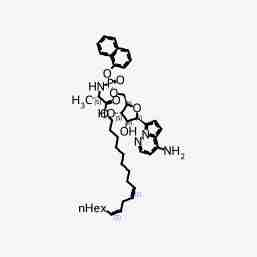 CCCCCC/C=C\C/C=C\CCCCCCCCOC(=O)[C@H](C)NP(=O)(OC[C@H]1O[C@@H](c2ccc3c(N)ccnn23)[C@H](O)[C@@H]1O)Oc1cccc2ccccc12